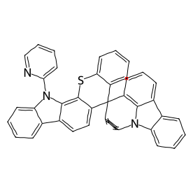 c1ccc(-n2c3ccccc3c3ccc4c(c32)Sc2ccccc2C42c3ccccc3-n3c4ccccc4c4cccc2c43)nc1